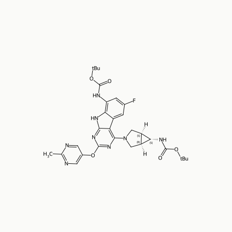 Cc1ncc(Oc2nc(N3C[C@@H]4[C@H](C3)[C@H]4NC(=O)OC(C)(C)C)c3c(n2)[nH]c2c(NC(=O)OC(C)(C)C)cc(F)cc23)cn1